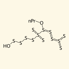 CCCOS(=S=S=S(=S)=S)S(=S)(=S)SSSSO